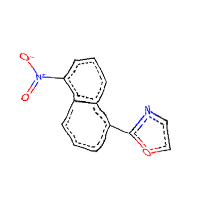 O=[N+]([O-])c1cccc2c(-c3ncco3)cccc12